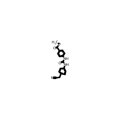 COC(=O)c1ccc(NC(=O)Nc2ccc(CC#N)cc2)cc1